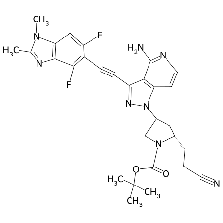 Cc1nc2c(F)c(C#Cc3nn(C4C[C@H](CCC#N)N(C(=O)OC(C)(C)C)C4)c4ccnc(N)c34)c(F)cc2n1C